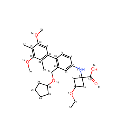 CCOC1CC(Nc2ccc(-c3cc(OC)c(C)c(OC)c3C)c(COC3CCCC3)c2)(C(=O)O)C1